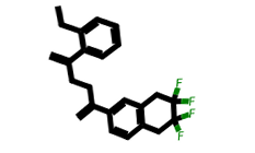 C=C(CCC(=C)c1ccccc1CC)c1ccc2c(c1)CC(F)(F)C(F)(F)C2